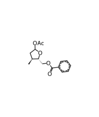 CC(=O)OC1C[C@H](C)[C@@H](COC(=O)c2ccccc2)O1